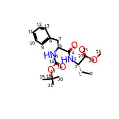 CC[C@H](NC(=O)[C@H](Cc1ccccc1)NC(=O)OC(C)(C)C)C(=O)OC